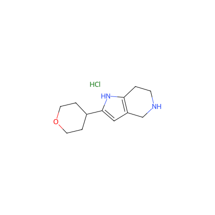 Cl.c1c(C2CCOCC2)[nH]c2c1CNCC2